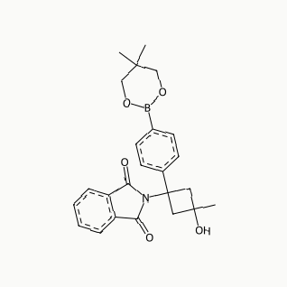 CC1(C)COB(c2ccc(C3(N4C(=O)c5ccccc5C4=O)CC(C)(O)C3)cc2)OC1